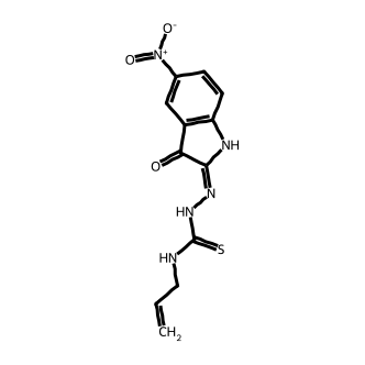 C=CCNC(=S)NN=C1Nc2ccc([N+](=O)[O-])cc2C1=O